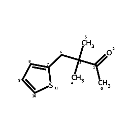 CC(=O)C(C)(C)Cc1cccs1